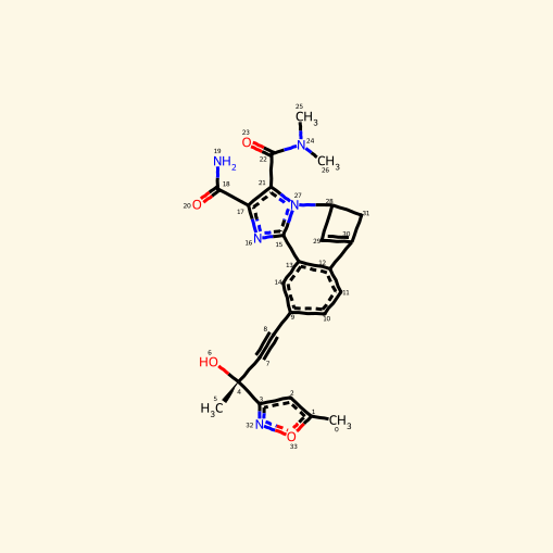 Cc1cc([C@](C)(O)C#Cc2ccc3c(c2)-c2nc(C(N)=O)c(C(=O)N(C)C)n2C2C=C3C2)no1